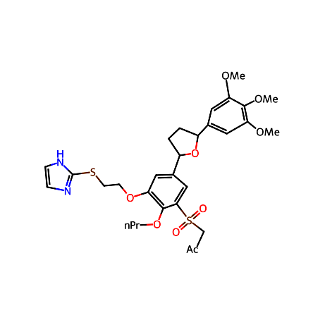 CCCOc1c(OCCSc2ncc[nH]2)cc(C2CCC(c3cc(OC)c(OC)c(OC)c3)O2)cc1S(=O)(=O)CC(C)=O